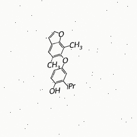 Cc1cc2[c]coc2c(C)c1Oc1ccc(O)c(C(C)C)c1